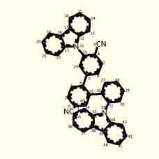 N#Cc1ccc(-c2ccc(C#N)c(-n3c4ccccc4c4ccccc43)c2)c(-c2ccccc2-n2c3ccccc3c3ccccc32)c1